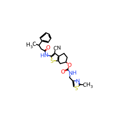 Cc1nc(CNC(=O)OC2CCc3c(sc(NC(=O)CC(C)c4ccccc4)c3C#N)C2)cs1